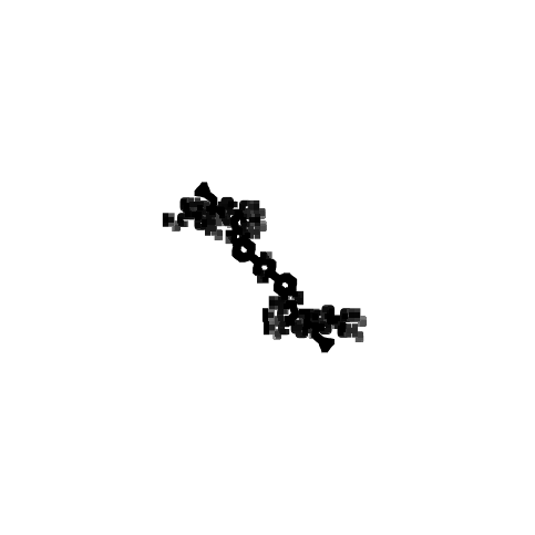 CN(C)C(=O)OC(C)(CC1CC1)C(=O)N[C@H](c1nc2ccc(-c3cnc(-c4ccc5nc([C@@H](NC(=O)[C@@](C)(CC6CC6)OC(=O)N(C)C)C(C)(C)C)[nH]c5c4)cn3)cc2[nH]1)C(C)(C)C